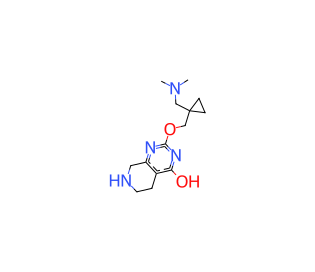 CN(C)CC1(COc2nc(O)c3c(n2)CNCC3)CC1